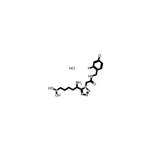 Cl.NC(CCCCB(O)O)c1nnnn1CC(=O)NCc1ccc(Cl)cc1F